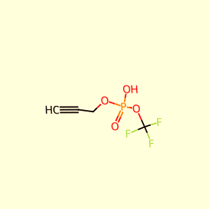 C#CCOP(=O)(O)OC(F)(F)F